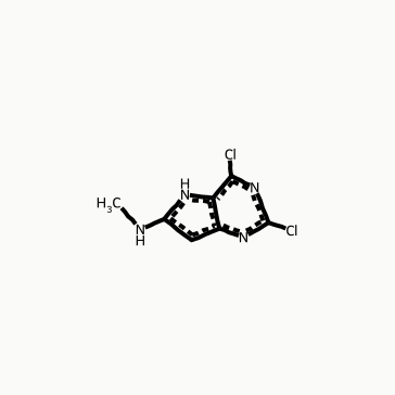 CNc1cc2nc(Cl)nc(Cl)c2[nH]1